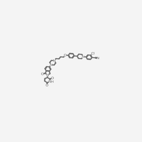 N#Cc1ccc(N2CCC(c3ccc(OCCCCN4CCN(c5ccc6c(c5)CN(C5CCC(=O)NC5=O)C6=O)CC4)cc3)CC2)cc1Cl